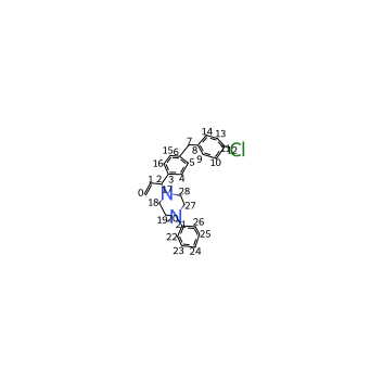 C=CC(c1ccc(Cc2ccc(Cl)cc2)cc1)N1CCN(c2ccccc2)CC1